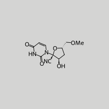 COC[C@@H]1C[C@@H](O)[C@](C#N)(n2ccc(=O)[nH]c2=O)O1